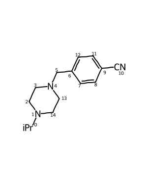 CC(C)N1CCN(Cc2ccc(C#N)cc2)CC1